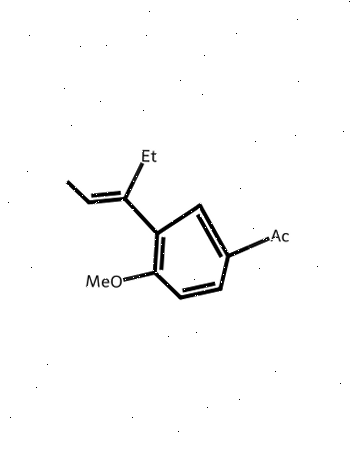 CC=C(CC)c1cc(C(C)=O)ccc1OC